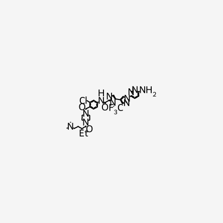 CCC(CCN(C)C)C(=O)N1CCN(C(=O)c2ccc(NC(=O)c3ncc(-c4cn(-c5ccc(N)nn5)nc4C(F)(F)F)n3C)cc2Cl)CC1